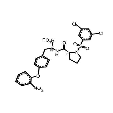 O=C(O)[C@H](Cc1ccc(Oc2ccccc2[N+](=O)[O-])cc1)NC(=O)[C@@H]1CCCN1S(=O)(=O)c1cc(Cl)cc(Cl)c1